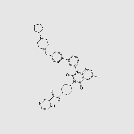 O=C(N[C@H]1CC[C@@H](n2c(=O)c3cc(F)cnc3n(-c3cccc(-c4ccc(CN5CCN(C6CCCC6)CC5)cc4)c3)c2=O)CC1)C1C=NC=CN1